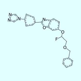 FC(COCc1ccccc1)Oc1ccc2nc(-c3ccc(-n4cnnc4)cc3)oc2c1